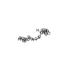 CC1(C)c2ccc(C3CCN(CC45CCC(CN6CCC7(CC6)COc6c7ccc7c6CN([C@H]6CCC(=O)NC6=O)C7=O)(CC4)C5)CC3)cc2-n2c1nc(=O)c1c(Cl)cccc12